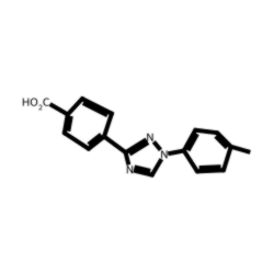 Cc1ccc(-n2cnc(-c3ccc(C(=O)O)cc3)n2)cc1